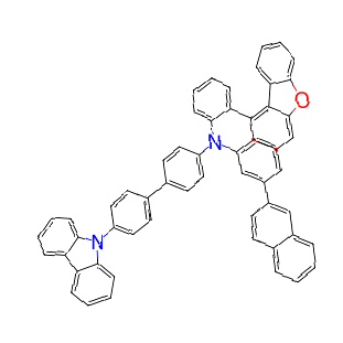 c1cc(-c2ccc3ccccc3c2)cc(N(c2ccc(-c3ccc(-n4c5ccccc5c5ccccc54)cc3)cc2)c2ccccc2-c2cccc3oc4ccccc4c23)c1